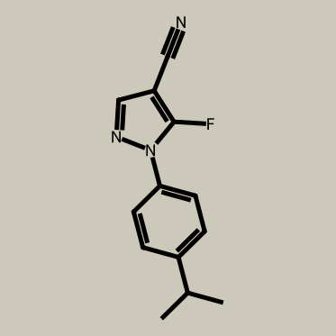 CC(C)c1ccc(-n2ncc(C#N)c2F)cc1